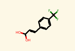 OC(O)/C=C/c1ccc(C(F)(F)F)cc1